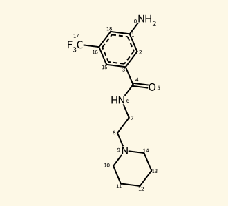 Nc1cc(C(=O)NCCN2CCCCC2)cc(C(F)(F)F)c1